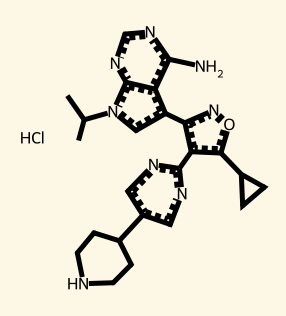 CC(C)n1cc(-c2noc(C3CC3)c2-c2ncc(C3CCNCC3)cn2)c2c(N)ncnc21.Cl